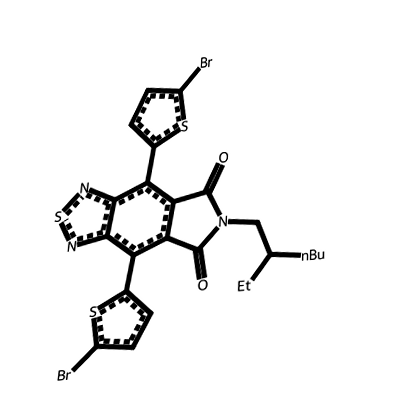 CCCCC(CC)CN1C(=O)c2c(c(-c3ccc(Br)s3)c3nsnc3c2-c2ccc(Br)s2)C1=O